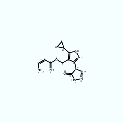 N=C(/C=C\N)OCc1c(-n2nn[nH]c2=O)nsc1C1CC1